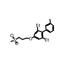 CCc1cc(OCCCS(C)(=O)=O)cc(CC)c1-c1cccc(C)c1